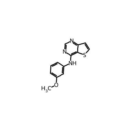 COc1cccc(Nc2ncnc3ccsc23)c1